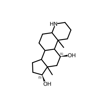 CC12CCCNC1CCC1C2[C@@H](O)CC2(C)C1CC[C@@H]2O